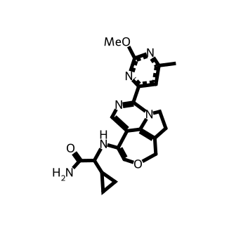 COc1nc(C)cc(C2=NC=C3C(NC(C(N)=O)C4CC4)=COCC4=C3N2CC4)n1